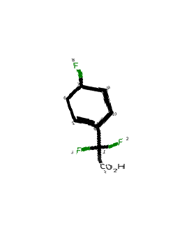 O=C(O)C(F)(F)C1=CCC(F)CC1